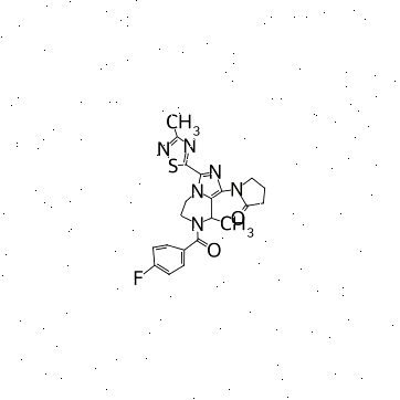 Cc1nsc(-c2nc(N3CCCC3=O)c3n2CCN(C(=O)c2ccc(F)cc2)C3C)n1